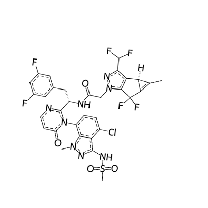 CC1=C2[C@H]1c1c(C(F)F)nn(CC(=O)N[C@@H](Cc3cc(F)cc(F)c3)c3nccc(=O)n3-c3ccc(Cl)c4c(NS(C)(=O)=O)nn(C)c34)c1C2(F)F